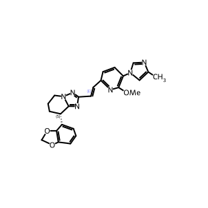 COc1nc(/C=C/c2nc3n(n2)CCC[C@H]3c2cccc3c2OCO3)ccc1-n1cnc(C)c1